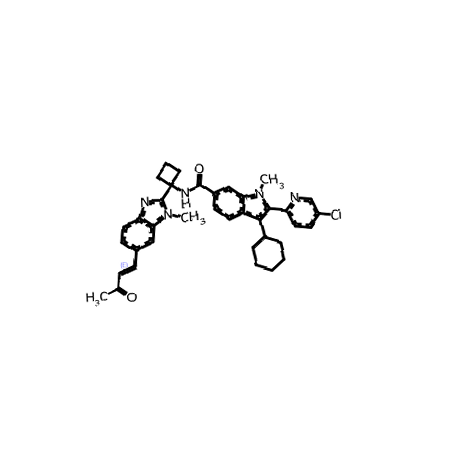 CC(=O)/C=C/c1ccc2nc(C3(NC(=O)c4ccc5c(C6CCCCC6)c(-c6ccc(Cl)cn6)n(C)c5c4)CCC3)n(C)c2c1